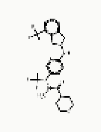 CN(C(=O)C1CCSCC1)[C@@H](c1ccc(NC2Cc3cccc(C(F)(F)F)c3C2)nc1)C(F)(F)F